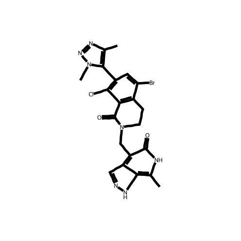 Cc1nnn(C)c1-c1cc(Br)c2c(c1Cl)C(=O)N(Cc1c(=O)[nH]c(C)c3[nH]ncc13)CC2